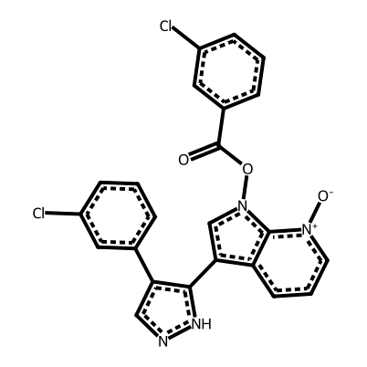 O=C(On1cc(-c2[nH]ncc2-c2cccc(Cl)c2)c2ccc[n+]([O-])c21)c1cccc(Cl)c1